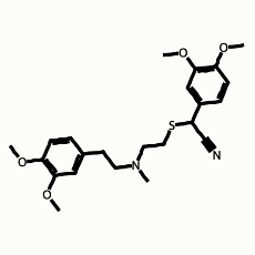 COc1ccc(CCN(C)CCSC(C#N)c2ccc(OC)c(OC)c2)cc1OC